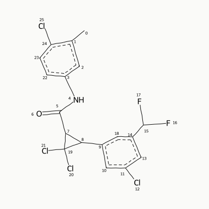 Cc1cc(NC(=O)C2C(c3cc(Cl)cc(C(F)F)c3)C2(Cl)Cl)ccc1Cl